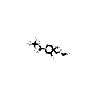 [2H]C1CN(C(=O)OC(C)(C)C)CCC1([2H])COC=O